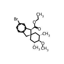 CCOC(=O)[C@@H]1c2cc(Br)ccc2C[C@@]12C[C@@H](C)[C@H](OC)[C@@H](C)C2